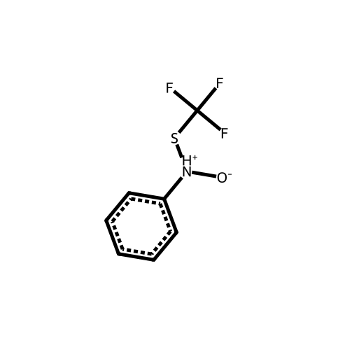 [O-][NH+](SC(F)(F)F)c1ccccc1